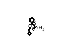 NC(=O)c1sc2ccccc2c1OCCC1CCC1